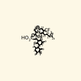 Cc1cc(C)c(-c2cc(C)c(F)c(C(CC(=O)O)NC(=O)C(CC(C)C)n3cc(CCCN(C)C)c(C(F)(F)F)cc3=O)c2F)c(C)c1F